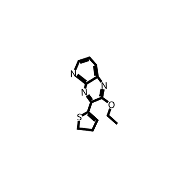 CCOc1nc2cccnc2nc1C1=CCCS1